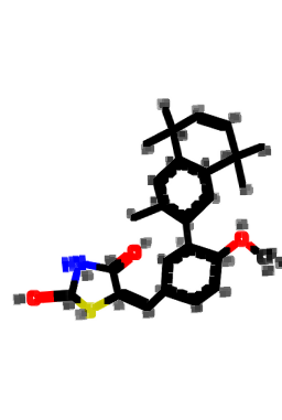 Cc1cc2c(cc1-c1cc(C=C3SC(=O)NC3=O)ccc1OC(F)(F)F)C(C)(C)C=CC2(C)C